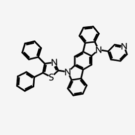 c1ccc(-c2nc(-n3c4ccccc4c4cc5c(cc43)c3ccccc3n5-c3cccnc3)sc2-c2ccccc2)cc1